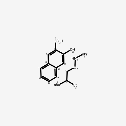 CCCCC(CC)CONCCC.O=S(=O)(O)c1cc2ccccc2cc1O